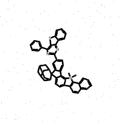 C[Si]1(C)c2c(ccc3c2-c2ccc(-c4nc(-c5ccccc5)c5sc6ccccc6c5n4)cc2C32C3CC4CC(C3)CC2C4)-c2ccc3ccccc3c21